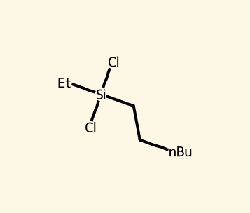 CCCCCC[Si](Cl)(Cl)CC